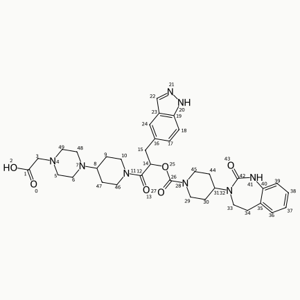 O=C(O)CN1CCN(C2CCN(C(=O)C(Cc3ccc4[nH]ncc4c3)OC(=O)N3CCC(N4CCc5ccccc5NC4=O)CC3)CC2)CC1